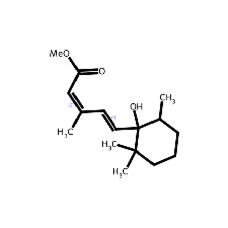 COC(=O)/C=C(C)\C=C\C1(O)C(C)CCCC1(C)C